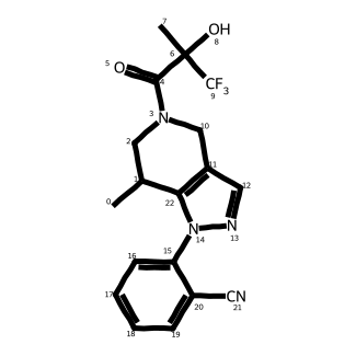 CC1CN(C(=O)C(C)(O)C(F)(F)F)Cc2cnn(-c3ccccc3C#N)c21